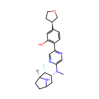 CN(c1cnc(-c2ccc([C@H]3CCOC3)cc2O)cn1)[C@@H]1CC2CC[C@H](N2)[C@@H]1F